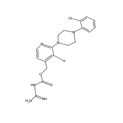 N=C(N)NC(=O)OCc1ccnc(N2CCN(c3ccccc3Cl)CC2)c1F